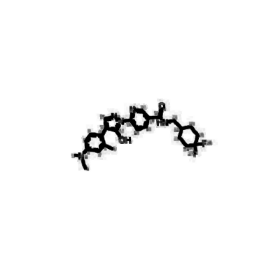 Cc1cc(N(C)C)ccc1-c1cnn(-c2ccc(C(=O)NCC3CCC(F)(F)CC3)cn2)c1O